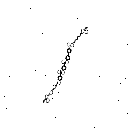 C=CC(=O)OCCCCCCCCOC(=O)c1ccc(-c2ccc(OC(=O)c3ccc(OC(=O)c4ccc(OCCOCCOCCOC(=O)C=C)cc4)cc3)cc2)cc1